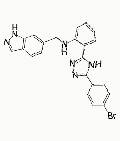 Brc1ccc(-c2nnc(-c3ccccc3NCc3ccc4cn[nH]c4c3)[nH]2)cc1